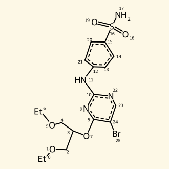 CCOCC(COCC)Oc1nc(Nc2ccc(S(N)(=O)=O)cc2)ncc1Br